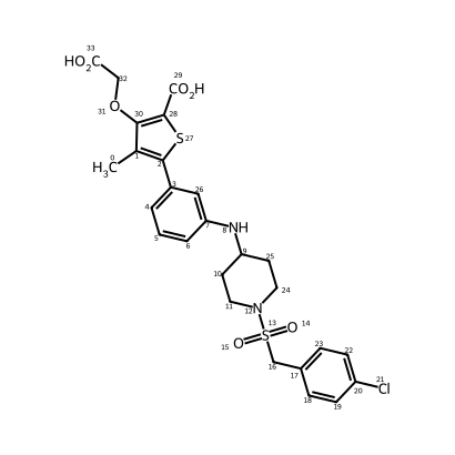 Cc1c(-c2cccc(NC3CCN(S(=O)(=O)Cc4ccc(Cl)cc4)CC3)c2)sc(C(=O)O)c1OCC(=O)O